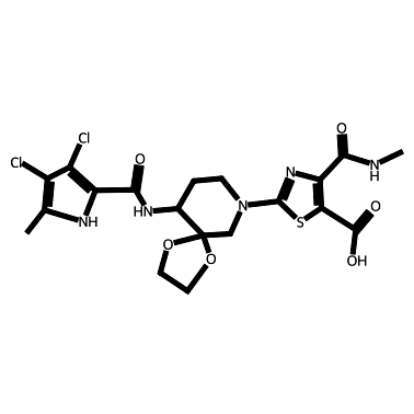 CNC(=O)c1nc(N2CCC(NC(=O)c3[nH]c(C)c(Cl)c3Cl)C3(C2)OCCO3)sc1C(=O)O